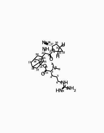 CN(C)[C@@H](CCCNC(=N)N)C(=O)OC12CC3CC(C1)CC([C@H](N)C(=O)N1[C@H](C#N)C[C@@H]4C[C@@H]41)(C3)C2